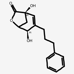 O=C1OC2C[C@@]1(O)C=C(CCCc1ccccc1)[C@H]2O